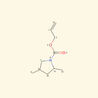 C=CCOC(=O)N1CC(C)CC1C